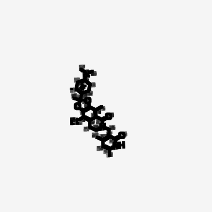 CCc1c2c(c(C)c3c1OC(C)(C14CCC(N(C)C)(CC1)CC4)O3)C(=O)N(Cc1c(C)cc(C)[nH]c1=O)CC2